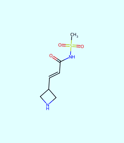 CS(=O)(=O)NC(=O)C=CC1CNC1